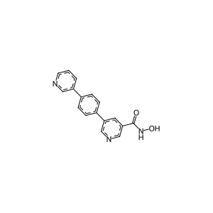 O=C(NO)c1cncc(-c2ccc(-c3cccnc3)cc2)c1